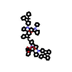 CC1(C)c2ccccc2-c2c(-c3ccccc3N(c3ccc4c(c3)C3(c5ccccc5-c5ccccc53)c3ccccc3-4)c3ccc4c5ccc(CC6(C)c7ccccc7-c7c(-c8ccccc8N(c8ccc9c(c8)-c8ccccc8C9(C)c8ccccc8)c8ccc9c%10ccccc%10n(-c%10ccccc%10)c9c8)cccc76)cc5n(-c5ccccc5)c4c3)cccc21